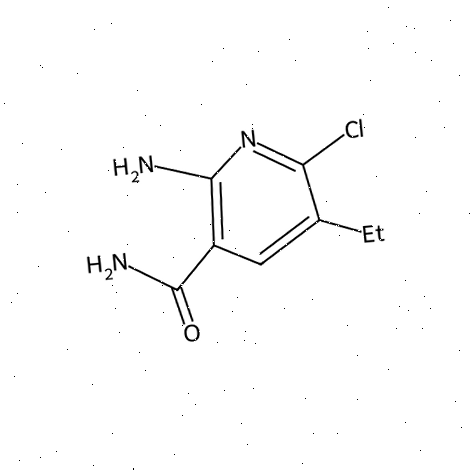 CCc1cc(C(N)=O)c(N)nc1Cl